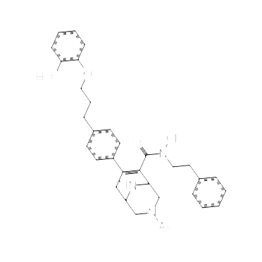 CC(=O)N1CC2CC(c3ccc(CCCOc4ccccc4C)cc3)=C(C(=O)N(C)CCc3ccccc3)C(C1)N2